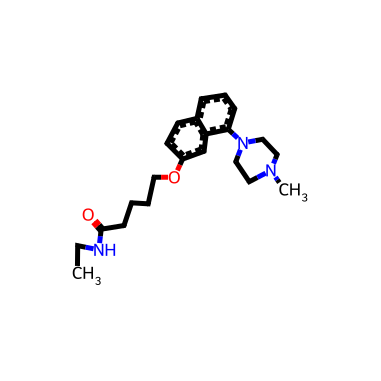 CCNC(=O)CCCCOc1ccc2cccc(N3CCN(C)CC3)c2c1